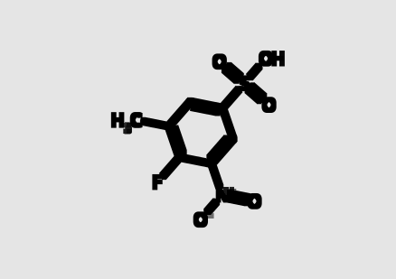 Cc1cc(S(=O)(=O)O)cc([N+](=O)[O-])c1F